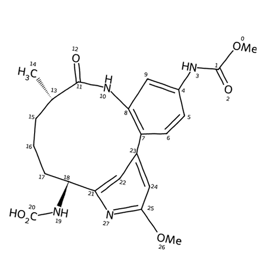 COC(=O)Nc1ccc2c(c1)NC(=O)[C@@H](C)CCC[C@H](NC(=O)O)c1cc-2cc(OC)n1